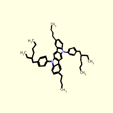 CCCCc1ccc2c(c1)c1cc3c(cc1n2-c1ccc(CC(CC)CCCC)cc1)c1cc(CCCC)ccc1n3-c1ccc(CC(CC)CCCC)cc1